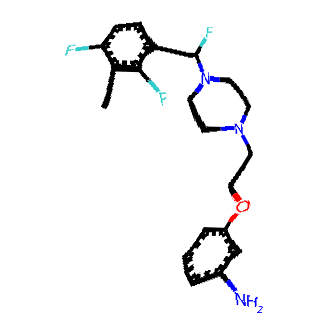 Cc1c(F)ccc(C(F)N2CCN(CCOc3cccc(N)c3)CC2)c1F